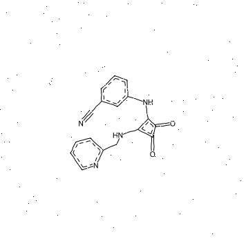 N#Cc1cccc(Nc2c(NCc3ccccn3)c(=O)c2=O)c1